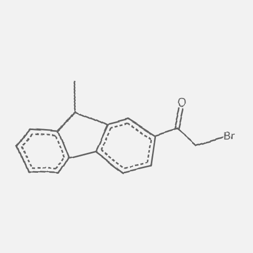 CC1c2ccccc2-c2ccc(C(=O)CBr)cc21